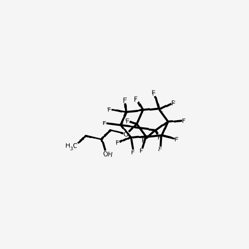 CCC(O)COC1(F)C2(F)C(F)(F)C3(F)C(F)(F)C(F)(C2(F)F)C(F)(F)C1(F)C3(F)F